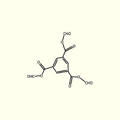 O=COC(=O)c1cc(C(=O)OC=O)cc(C(=O)OC=O)c1